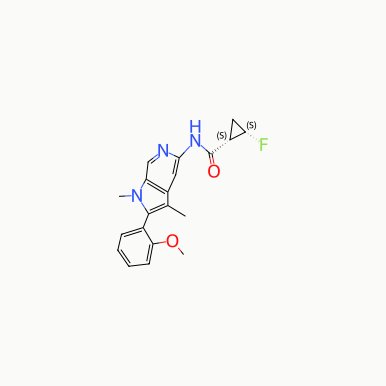 COc1ccccc1-c1c(C)c2cc(NC(=O)[C@@H]3C[C@@H]3F)ncc2n1C